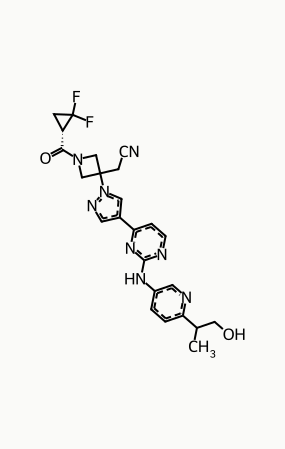 CC(CO)c1ccc(Nc2nccc(-c3cnn(C4(CC#N)CN(C(=O)[C@@H]5CC5(F)F)C4)c3)n2)cn1